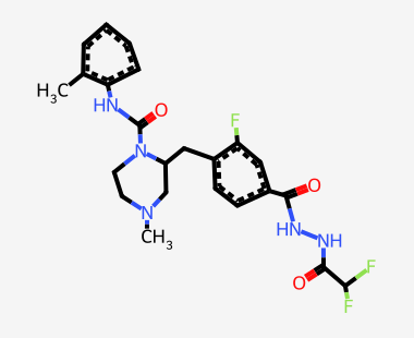 Cc1ccccc1NC(=O)N1CCN(C)CC1Cc1ccc(C(=O)NNC(=O)C(F)F)cc1F